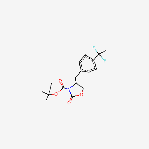 CC(C)(C)OC(=O)N1C(=O)OC[C@@H]1Cc1ccc(C(C)(F)F)cc1